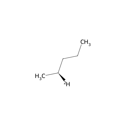 [2H][C@@H](C)CCC